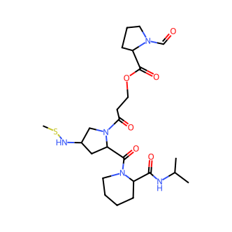 CSNC1CC(C(=O)N2CCCCC2C(=O)NC(C)C)N(C(=O)CCOC(=O)C2CCCN2C=O)C1